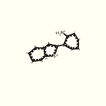 Nc1ccccc1-c1cc2ccccc2s1